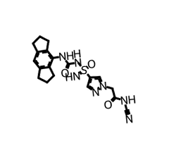 N#CNC(=O)Cn1cc(S(=N)(=O)NC(=O)Nc2c3c(cc4c2CCC4)CCC3)cn1